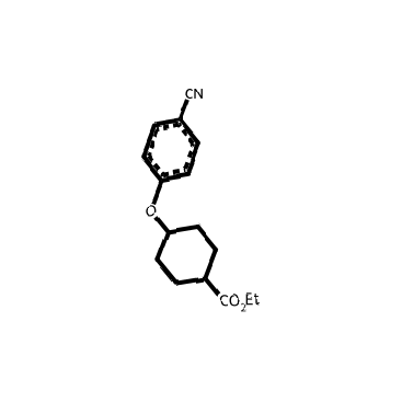 CCOC(=O)C1CCC(Oc2ccc(C#N)cc2)CC1